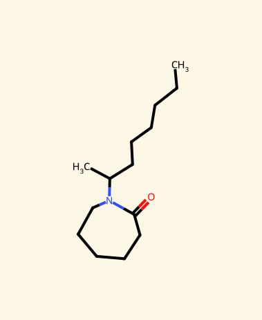 CCCCCCC(C)N1CCCCCC1=O